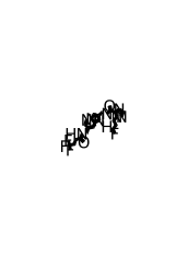 O=C(CCC(F)(F)F)NCc1cnn2cc(CNC(=O)c3ncnn3CCCF)nc2c1